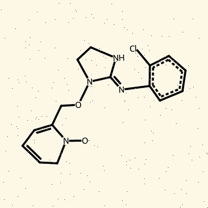 [O]N1CC=CC=C1CON1CCNC1=Nc1ccccc1Cl